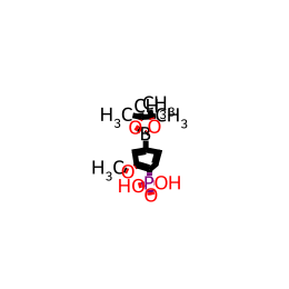 COc1cc(B2OC(C)(C)C(C)(C)O2)ccc1P(=O)(O)O